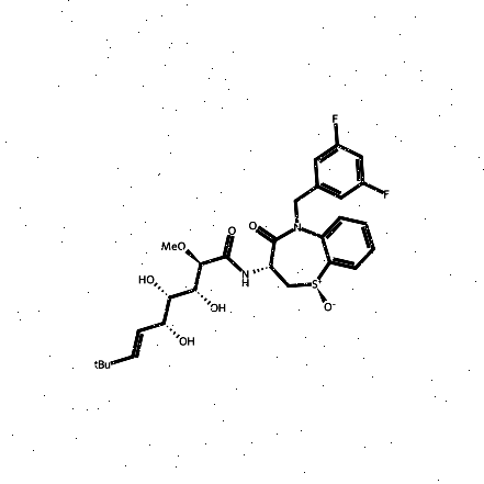 CO[C@@H](C(=O)N[C@H]1C[S@+]([O-])c2ccccc2N(Cc2cc(F)cc(F)c2)C1=O)[C@H](O)[C@@H](O)[C@H](O)/C=C/C(C)(C)C